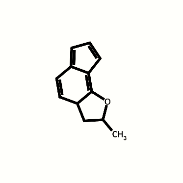 CC1CC2C=CC3=CC=CC3=C2O1